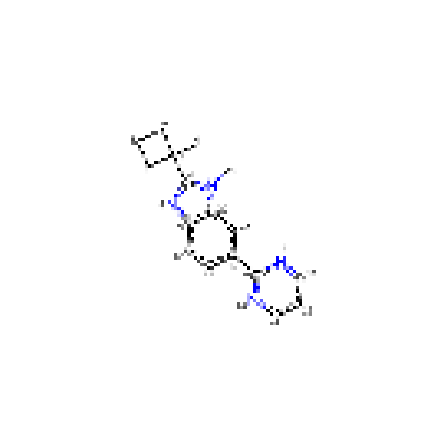 Cn1c(C2(C)CCC2)nc2ccc(-c3ncccn3)cc21